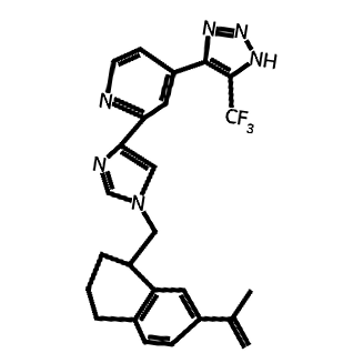 C=C(C)c1ccc2c(c1)C(Cn1cnc(-c3cc(-c4nn[nH]c4C(F)(F)F)ccn3)c1)CCC2